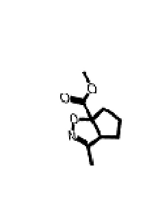 COC(=O)C12CCCC1C(C)=NO2